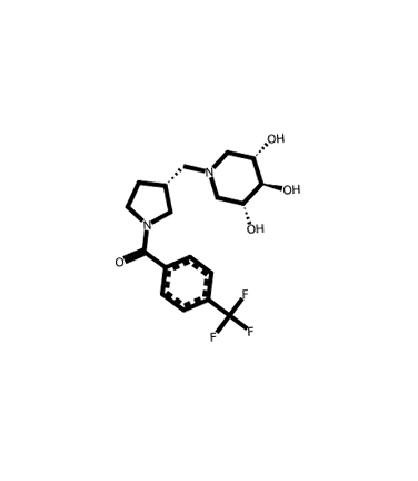 O=C(c1ccc(C(F)(F)F)cc1)N1CC[C@H](CN2C[C@@H](O)[C@H](O)[C@@H](O)C2)C1